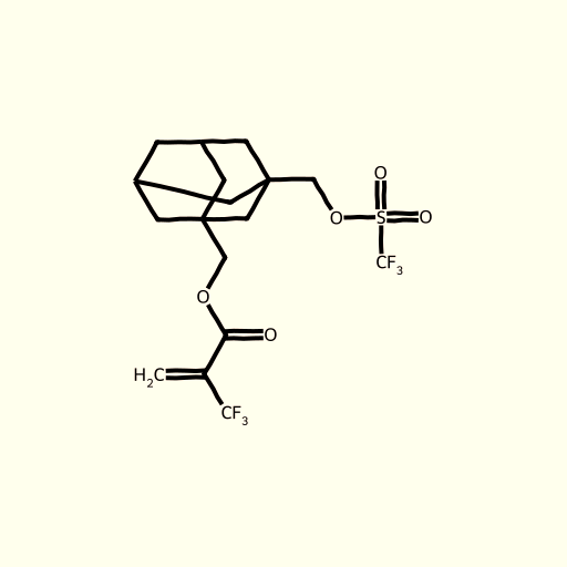 C=C(C(=O)OCC12CC3CC(C1)CC(COS(=O)(=O)C(F)(F)F)(C3)C2)C(F)(F)F